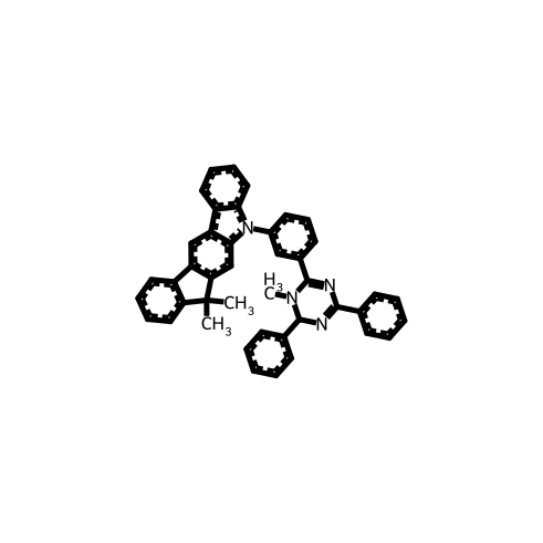 CN1C(c2cccc(-n3c4ccccc4c4cc5c(cc43)C(C)(C)c3ccccc3-5)c2)=NC(c2ccccc2)=NC1c1ccccc1